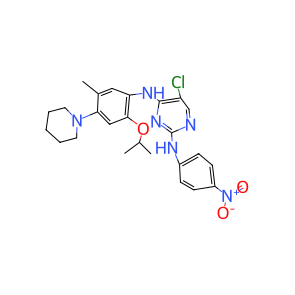 Cc1cc(Nc2nc(Nc3ccc([N+](=O)[O-])cc3)ncc2Cl)c(OC(C)C)cc1N1CCCCC1